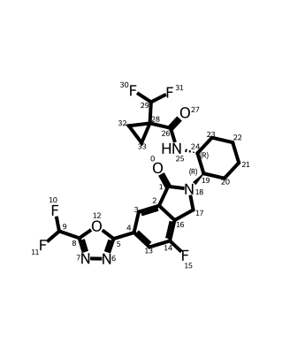 O=C1c2cc(-c3nnc(C(F)F)o3)cc(F)c2CN1[C@@H]1CCCC[C@H]1NC(=O)C1(C(F)F)CC1